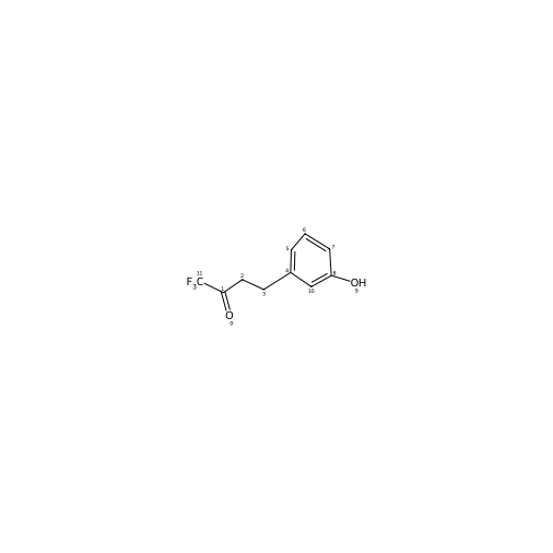 O=C(CCc1cccc(O)c1)C(F)(F)F